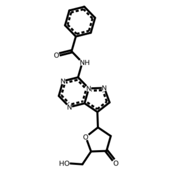 O=C(Nc1ncnc2c(C3CC(=O)C(CO)O3)cnn12)c1ccccc1